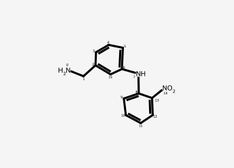 NCc1cccc(Nc2ccccc2[N+](=O)[O-])c1